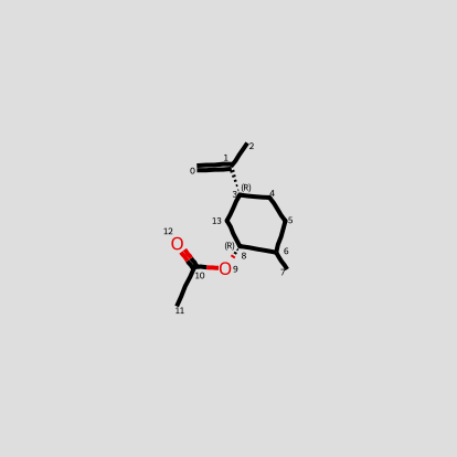 C=C(C)[C@@H]1CCC(C)[C@H](OC(C)=O)C1